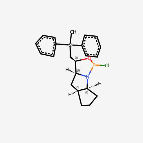 C[Si](C[C@H]1OP(Cl)N2[C@H]3CCC[C@H]3C[C@@H]12)(c1ccccc1)c1ccccc1